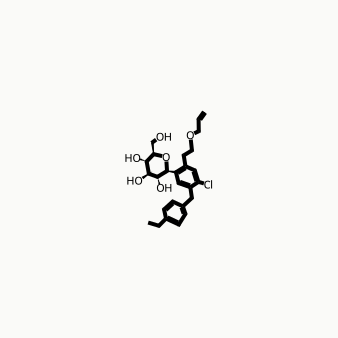 C=CCOCCc1cc(Cl)c(Cc2ccc(CC)cc2)cc1[C@@H]1O[C@H](CO)[C@@H](O)[C@H](O)[C@H]1O